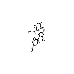 CCOC(=O)C(C)OC(=O)c1cc(N(C(=O)N(C)C)C(=O)N(C)C=S)c(F)cc1Cl